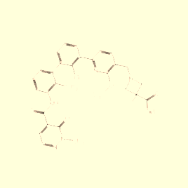 COc1nc(-c2cccc(-c3cccc(NC(=O)c4ccnn(C)c4=O)c3C)c2Cl)ccc1CN1CC(F)(C(=O)O)C1